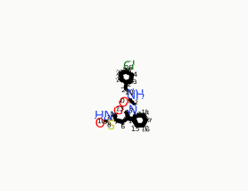 O=C(Cn1cc(/C=C2/SC(=O)NC2=O)c2ccccc21)NCc1ccc(Cl)cc1